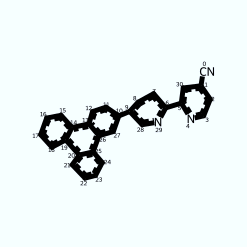 N#Cc1ccnc(-c2ccc(-c3ccc4c5ccccc5c5ccccc5c4c3)cn2)c1